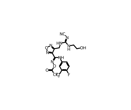 N#C/N=C(/NCCO)NCc1nonc1/C(=N/OC(=O)C(F)(F)F)Nc1ccc(F)c(Cl)c1